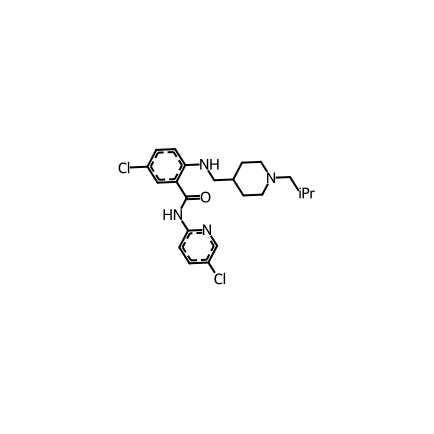 CC(C)CN1CCC(CNc2ccc(Cl)cc2C(=O)Nc2ccc(Cl)cn2)CC1